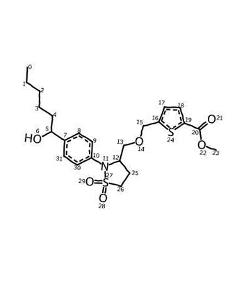 CCCCCC(O)c1ccc(N2C(COCc3ccc(C(=O)OC)s3)CCS2(=O)=O)cc1